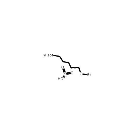 CCCCCCCCCCCCOCC.O=[SH](=O)O